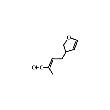 C/C(C=O)=C\CC1C=COC1